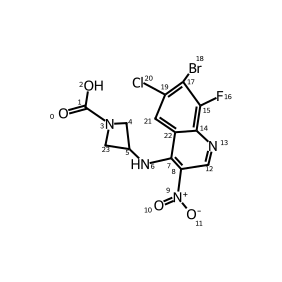 O=C(O)N1CC(Nc2c([N+](=O)[O-])cnc3c(F)c(Br)c(Cl)cc23)C1